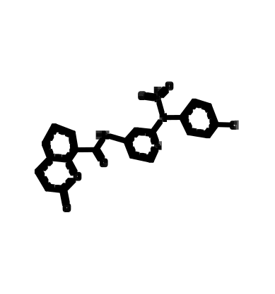 O=C(Nc1ccnc(N(c2ccc(Cl)cc2)[SH](=O)=O)c1)c1cccc2ccc(=O)oc12